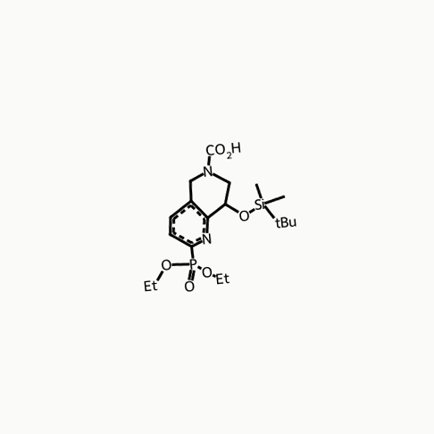 CCOP(=O)(OCC)c1ccc2c(n1)C(O[Si](C)(C)C(C)(C)C)CN(C(=O)O)C2